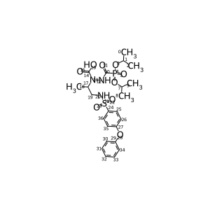 CC(C)OP(=O)(OC(C)C)C(=O)NN(C(=O)O)C(C)CNS(=O)(=O)c1ccc(Oc2ccccc2)cc1